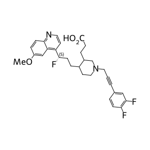 COc1ccc2nccc([C@@H](F)CCC3CCN(CC#Cc4ccc(F)c(F)c4)CC3CCC(=O)O)c2c1